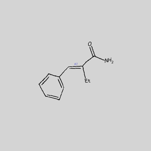 CC/C(=C\c1ccccc1)C(N)=O